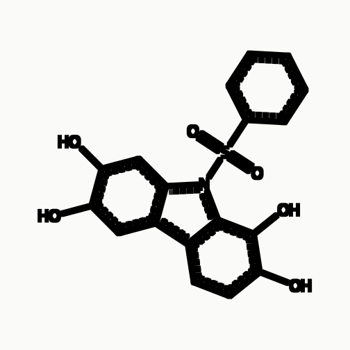 O=S(=O)(c1ccccc1)n1c2cc(O)c(O)cc2c2ccc(O)c(O)c21